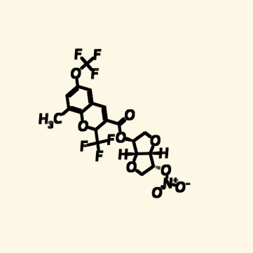 Cc1cc(OC(F)(F)F)cc2c1OC(C(F)(F)F)C(C(=O)O[C@H]1CO[C@H]3[C@@H]1OC[C@H]3O[N+](=O)[O-])=C2